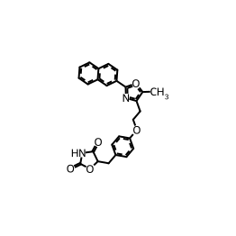 Cc1oc(-c2ccc3ccccc3c2)nc1CCOc1ccc(CC2OC(=O)NC2=O)cc1